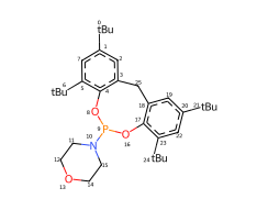 CC(C)(C)c1cc2c(c(C(C)(C)C)c1)OP(N1CCOCC1)Oc1c(cc(C(C)(C)C)cc1C(C)(C)C)C2